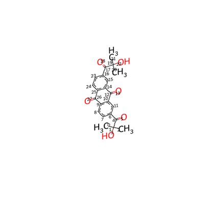 CC(C)(O)C(=O)c1ccc2c(c1)C(=O)c1cc(C(=O)C(C)(C)O)ccc1C2=O